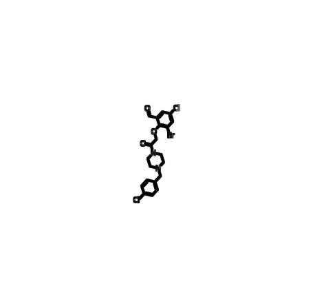 O=Cc1cc(Cl)cc(Br)c1OCC(=O)N1CCN(Cc2ccc(Cl)cc2)CC1